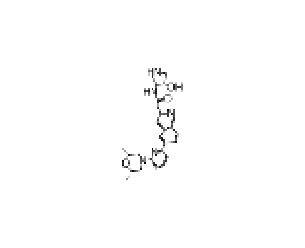 C[C@@H]1CN(c2cccc(-c3ccc4cnc(CC(=O)N[C@H]5CNC[C@@H]5O)cc4c3)n2)C[C@H](C)O1